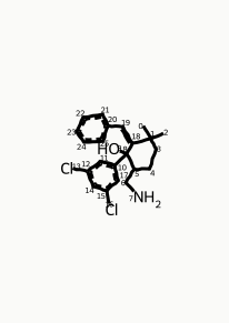 CC1(C)CCC(CN)C(O)(c2cc(Cl)cc(Cl)c2)C1=Cc1ccccc1